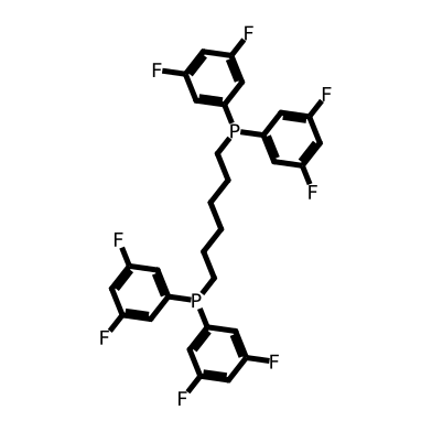 Fc1cc(F)cc(P(CCCCCCP(c2cc(F)cc(F)c2)c2cc(F)cc(F)c2)c2cc(F)cc(F)c2)c1